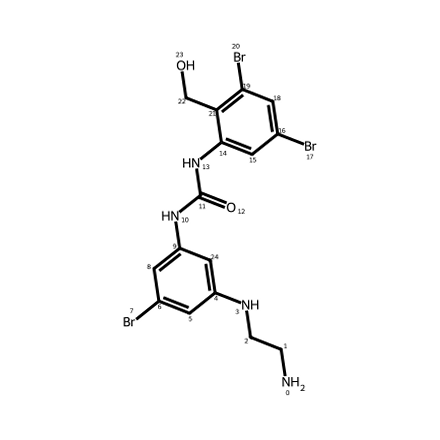 NCCNc1cc(Br)cc(NC(=O)Nc2cc(Br)cc(Br)c2CO)c1